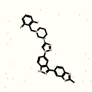 Cc1nc2ccc(-c3n[nH]c4ccc(-n5cc([C@@H]6CCCN(Cc7c(F)cccc7F)C6)nn5)cc34)cc2s1